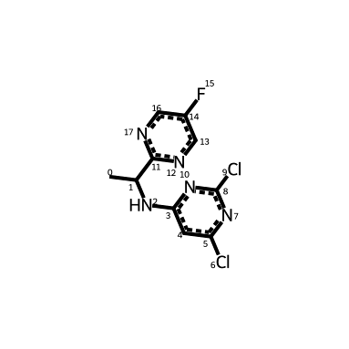 CC(Nc1cc(Cl)nc(Cl)n1)c1ncc(F)cn1